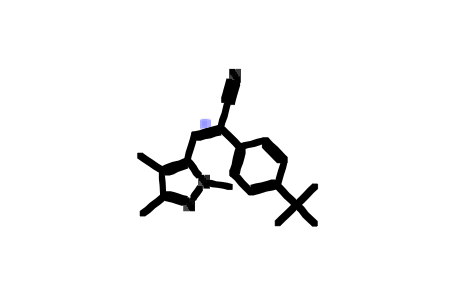 Cc1nn(C)c(/C=C(/C#N)c2ccc(C(C)(C)C)cc2)c1C